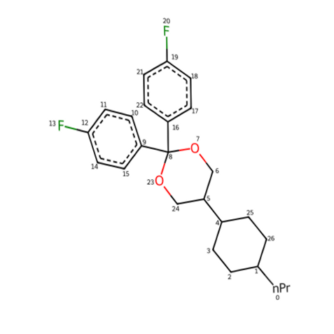 CCCC1CCC(C2COC(c3ccc(F)cc3)(c3ccc(F)cc3)OC2)CC1